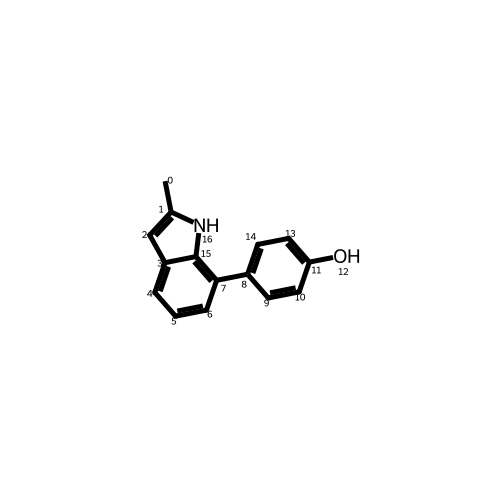 Cc1cc2cccc(-c3ccc(O)cc3)c2[nH]1